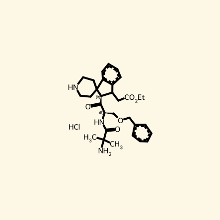 CCOC(=O)CC1c2ccccc2C2(CCNCC2)[C@@H]1C(=O)[C@@H](COCc1ccccc1)NC(=O)C(C)(C)N.Cl